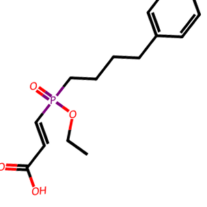 CCOP(=O)(C=CC(=O)O)CCCCc1ccccc1